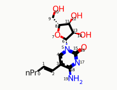 CCC/C=C/c1cn([C@@H]2O[C@H](CO)[C@@H](O)[C@H]2O)c(=O)nc1N